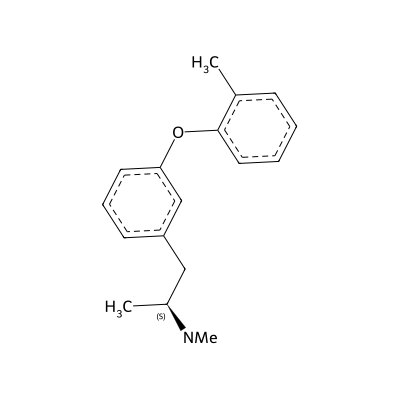 CN[C@@H](C)Cc1cccc(Oc2ccccc2C)c1